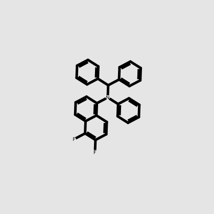 Fc1ccc2c(N(c3ccccc3)C(c3ccccc3)c3ccccc3)cccc2c1F